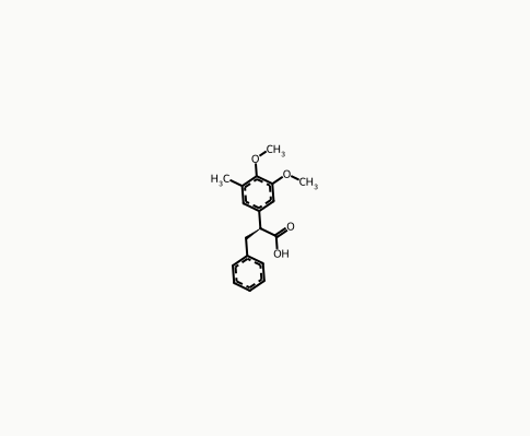 COc1cc([C@H](Cc2ccccc2)C(=O)O)cc(C)c1OC